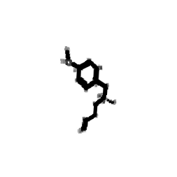 CCCC[C@@H](C)Cc1ccc(OC)cc1